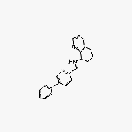 c1ccc(-c2ccc(CNC3CCCc4cccnc43)nc2)cc1